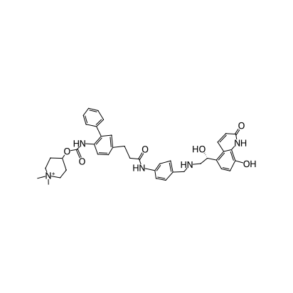 C[N+]1(C)CCC(OC(=O)Nc2ccc(CCC(=O)Nc3ccc(CNC[C@H](O)c4ccc(O)c5[nH]c(=O)ccc45)cc3)cc2-c2ccccc2)CC1